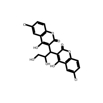 O=c1oc2ccc(Cl)cc2c(O)c1C(c1c(O)c2cc(Cl)ccc2oc1=O)C(O)CO